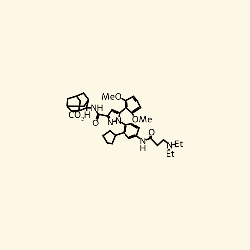 CCN(CC)CCC(=O)Nc1ccc(-n2nc(C(=O)NC3(C(=O)O)C4CC5CC(C4)CC3C5)cc2-c2c(OC)cccc2OC)c(C2CCCC2)c1